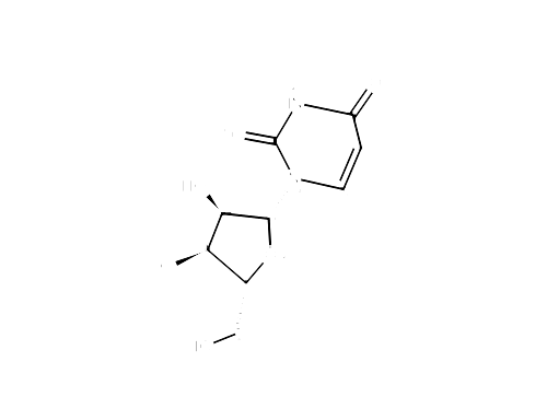 O=c1ccn([C@@H]2O[C@H](CO)[C@@H](Cl)[C@H]2O)c(=O)[nH]1